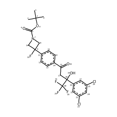 CC(C)(C)OC(=O)N1CC(F)(c2ccc(C(=O)CC(O)(c3cc(Cl)cc(Cl)c3)C(F)(F)F)cc2)C1